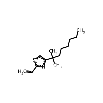 C=Cc1nc(C(C)(C)CCCCCC)cs1